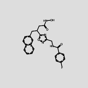 O=C(CC(Cc1ccc2ccccc2c1)c1nc(CNC(=O)c2ccc(F)cc2)no1)NO